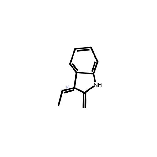 C=c1[nH]c2ccccc2/c1=C/C